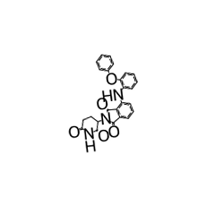 O=C1CCC(N2C(=O)c3cccc(Nc4ccccc4Oc4ccccc4)c3C2=O)C(=O)N1